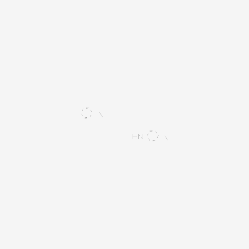 C=Cc1ccc(NCCCCCCCC=Cc2ccccc2)cc1